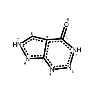 O=c1[nH]nnc2n[nH]cc12